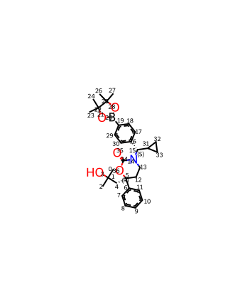 CC(C)(O)C[C@@]1(c2ccccc2)CCN([C@H](c2ccc(B3OC(C)(C)C(C)(C)O3)cc2)C2CC2)C(=O)O1